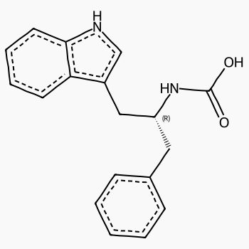 O=C(O)N[C@H](Cc1ccccc1)Cc1c[nH]c2ccccc12